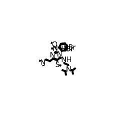 Br.Br.CO[N+](C)(c1ccccc1)c1nc(CCN(C)C)c(SC)c(NCCN(C(C)C)C(C)C)n1